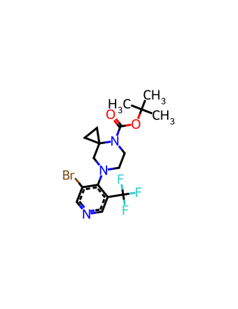 CC(C)(C)OC(=O)N1CCN(c2c(Br)cncc2C(F)(F)F)CC12CC2